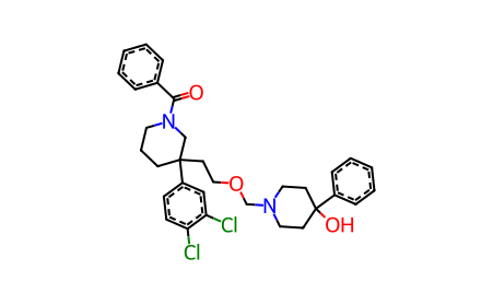 O=C(c1ccccc1)N1CCCC(CCOCN2CCC(O)(c3ccccc3)CC2)(c2ccc(Cl)c(Cl)c2)C1